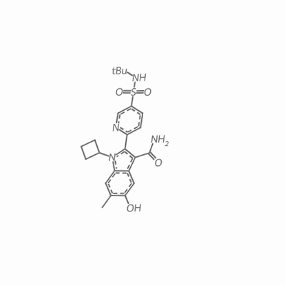 Cc1cc2c(cc1O)c(C(N)=O)c(-c1ccc(S(=O)(=O)NC(C)(C)C)cn1)n2C1CCC1